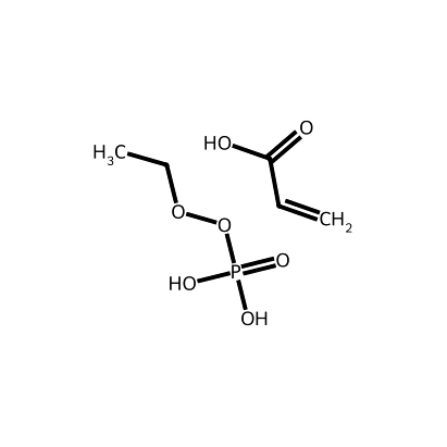 C=CC(=O)O.CCOOP(=O)(O)O